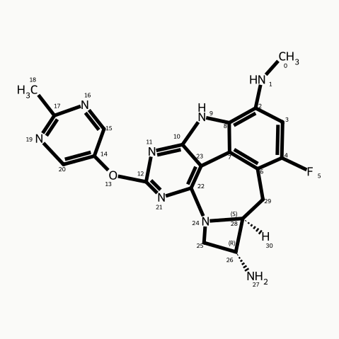 CNc1cc(F)c2c3c1[nH]c1nc(Oc4cnc(C)nc4)nc(c13)N1C[C@@H](N)[C@@H]1C2